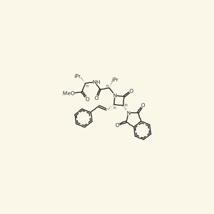 COC(=O)[C@@H](NC(=O)[C@H](C(C)C)N1C(=O)[C@H](N2C(=O)c3ccccc3C2=O)[C@@H]1C=Cc1ccccc1)C(C)C